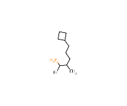 CCC(P)C(C)CCCC1CCC1